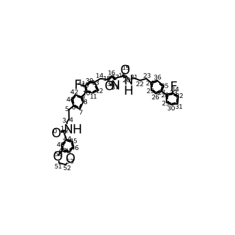 O=C(NCCCc1ccc(-c2ccc(Cc3cc(C(=O)NCCCc4ccc(-c5ccccc5F)cc4)no3)cc2F)cc1)c1ccc2c(c1)OCCO2